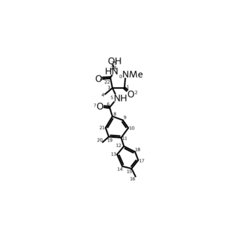 CNC(=O)C(C)(NC(=O)c1ccc(-c2ccc(C)cc2)c(C)c1)C(=O)NO